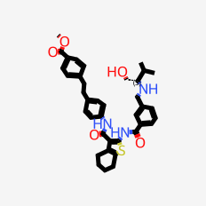 COC(=O)c1ccc(CCc2ccc(NC(=O)c3c(NC(=O)c4cccc(CN[C@H](CO)C(C)C)c4)sc4c3CCCC4)cc2)cc1